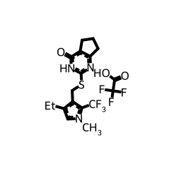 CCc1cn(C)c(C(F)(F)F)c1CSc1nc2c(c(=O)[nH]1)CCC2.O=C(O)C(F)(F)F